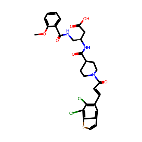 COc1ccccc1C(=O)NC[C@@H](CC(=O)O)NC(=O)C1CCN(C(=O)/C=C/c2cc3ccsc3c(Cl)c2Cl)CC1